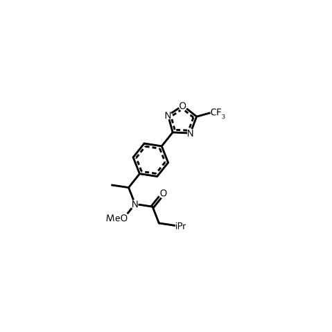 CON(C(=O)CC(C)C)C(C)c1ccc(-c2noc(C(F)(F)F)n2)cc1